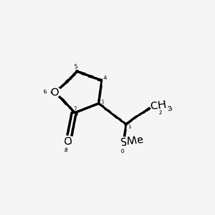 CSC(C)C1CCOC1=O